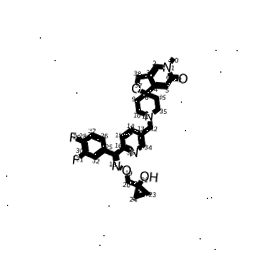 Cn1cc2c(cc1=O)C1(CCN(Cc3ccc(/C(=N\OCC4(O)CC4)c4ccc(F)c(F)c4)nc3)CC1)OC2